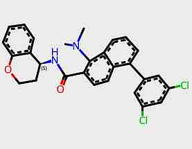 CN(C)c1c(C(=O)N[C@H]2CCOc3ccccc32)ccc2c(-c3cc(Cl)cc(Cl)c3)cccc12